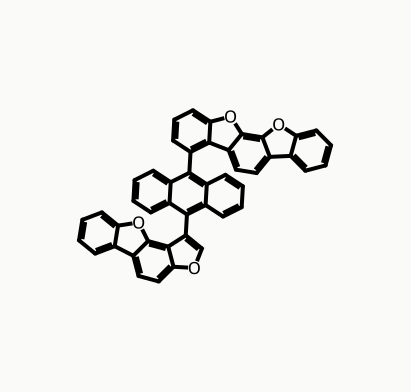 c1ccc2c(c1)oc1c2ccc2c1oc1cccc(-c3c4ccccc4c(-c4coc5ccc6c7ccccc7oc6c45)c4ccccc34)c12